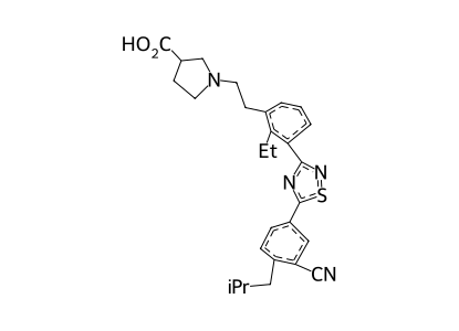 CCc1c(CCN2CCC(C(=O)O)C2)cccc1-c1nsc(-c2ccc(CC(C)C)c(C#N)c2)n1